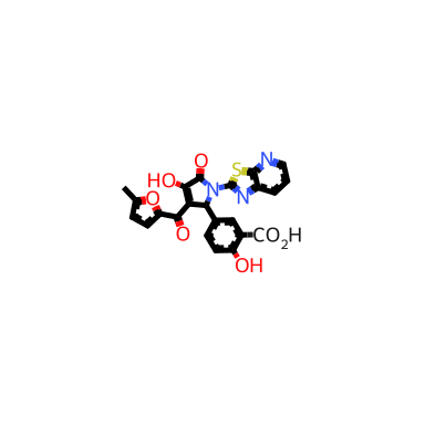 Cc1ccc(C(=O)C2=C(O)C(=O)N(c3nc4cccnc4s3)C2c2ccc(O)c(C(=O)O)c2)o1